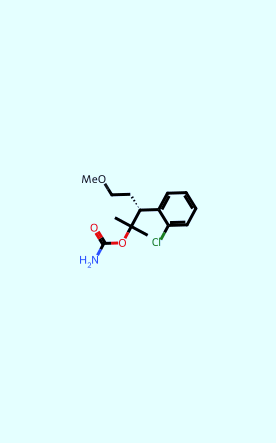 COCC[C@H](c1ccccc1Cl)C(C)(C)OC(N)=O